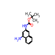 CC(C)(C)OC(=O)Nc1cc(N)c2ccccc2c1